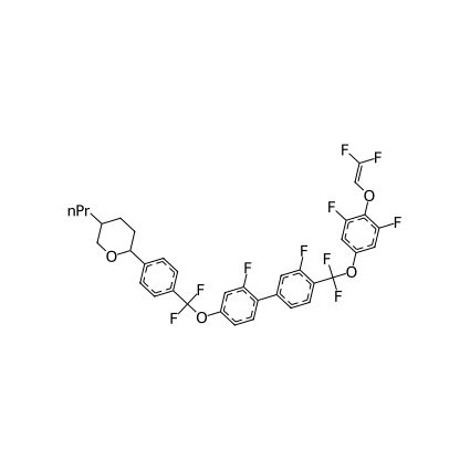 CCCC1CCC(c2ccc(C(F)(F)Oc3ccc(-c4ccc(C(F)(F)Oc5cc(F)c(OC=C(F)F)c(F)c5)c(F)c4)c(F)c3)cc2)OC1